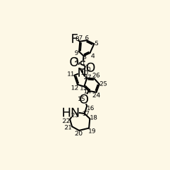 O=S(=O)(c1cccc(F)c1)n1ccc2c(OCC3CCCCCN3)cccc21